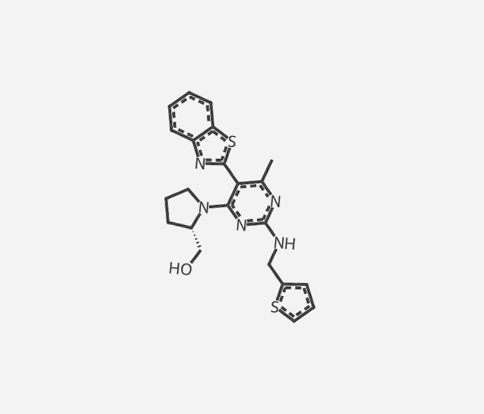 Cc1nc(NCc2cccs2)nc(N2CCC[C@H]2CO)c1-c1nc2ccccc2s1